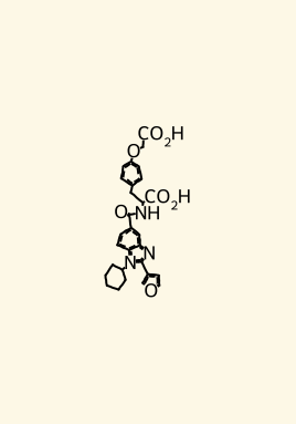 O=C(O)COc1ccc(C[C@H](NC(=O)c2ccc3c(c2)nc(-c2ccoc2)n3C2CCCCC2)C(=O)O)cc1